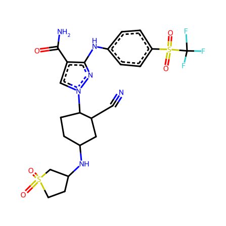 N#CC1CC(NC2CCS(=O)(=O)C2)CCC1n1cc(C(N)=O)c(Nc2ccc(S(=O)(=O)C(F)(F)F)cc2)n1